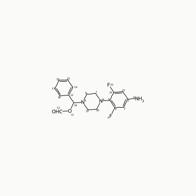 Nc1cc(F)c(N2CCN(C(OC=O)c3ccccc3)CC2)c(F)c1